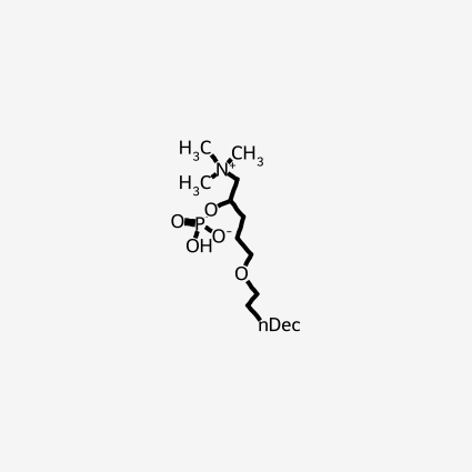 CCCCCCCCCCCCOCCCC(C[N+](C)(C)C)OP(=O)([O-])O